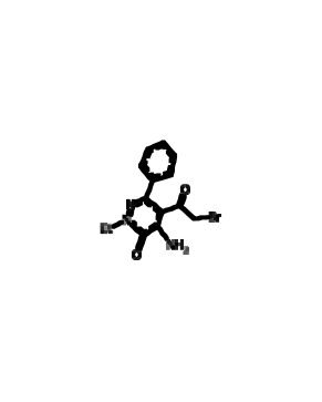 CCn1nc(-c2ccccc2)c(C(=O)CBr)c(N)c1=O